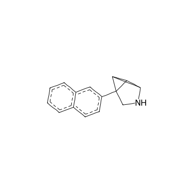 c1ccc2cc(C34CNC5C3C54)ccc2c1